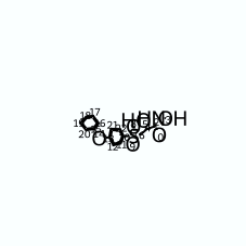 O=C(NO)C(O)CS(=O)(=O)c1ccc(Oc2ccccc2)cc1